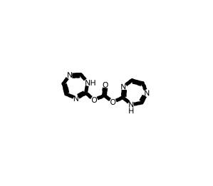 O=C(OC1=NC=CN=CN1)OC1=NC=CN=CN1